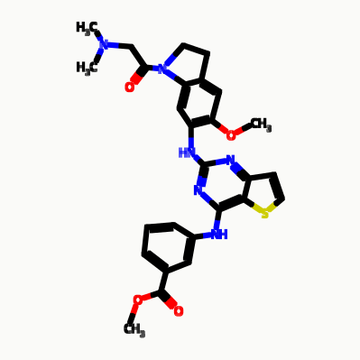 COC(=O)c1cccc(Nc2nc(Nc3cc4c(cc3OC)CCN4C(=O)CN(C)C)nc3ccsc23)c1